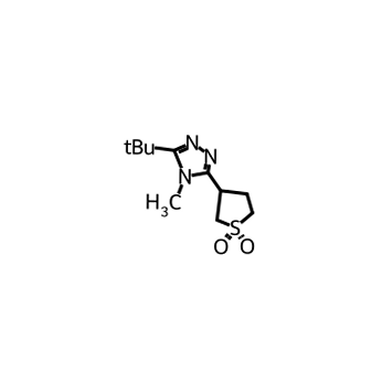 Cn1c(C2CCS(=O)(=O)C2)nnc1C(C)(C)C